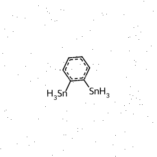 [SnH3][c]1[c]ccc[c]1[SnH3]